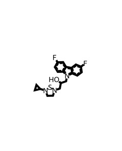 OC(CN1CCN(C2CC2)S1)Cn1c2ccc(F)cc2c2cc(F)ccc21